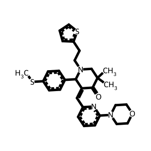 CSc1ccc(C2C(=Cc3cccc(N4CCOCC4)n3)C(=O)C(C)(C)CN2CCc2cccs2)cc1